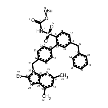 CCCCOC(=O)NS(=O)(=O)c1ccc(Cc2ccccc2)cc1-c1ccc(Cn2c(CC)nc3c(C)cc(C)nc32)cc1